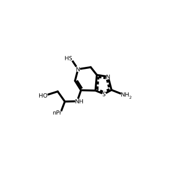 CCCC(CO)NC1=CN(S)Cc2nc(N)sc21